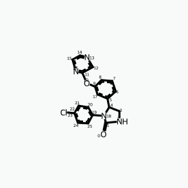 O=C1NCC(c2cccc(Oc3cnccn3)c2)N1c1ccc(Cl)cc1